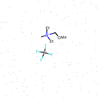 CC[N+](C)(CC)COC.F[B-](F)(F)F